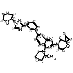 C[C@H]1COCCN1c1nc(N2CCOC3(CC3)C2)nc2nc(-c3cccc(-c4ncn(C5CCCCO5)n4)c3)ccc12